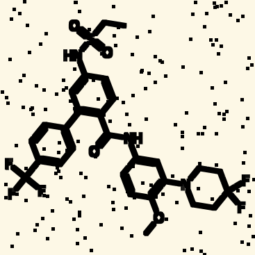 CCS(=O)(=O)Nc1ccc(C(=O)Nc2ccc(OC)c(N3CCC(F)(F)CC3)c2)c(-c2ccc(C(F)(F)F)cc2)c1